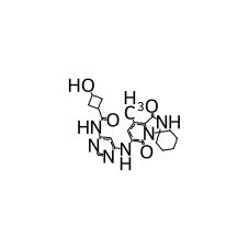 Cc1cc(Nc2cc(NC(=O)C3CC(O)C3)ncn2)c(=O)n2c1C(=O)NC21CCCCC1